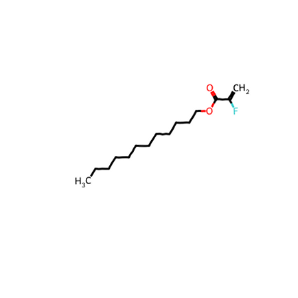 C=C(F)C(=O)OCCCCCCCCCCCC